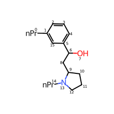 CCCc1cccc(C(O)CC2CCCN2CCC)c1